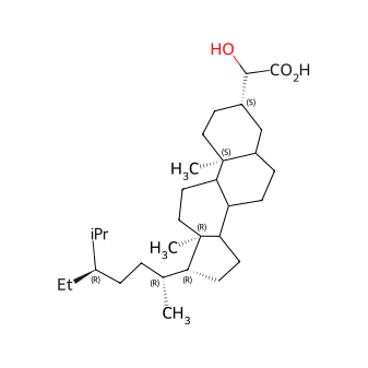 CC[C@H](CC[C@@H](C)[C@H]1CCC2C3CCC4C[C@@H](C(O)C(=O)O)CC[C@]4(C)C3CC[C@@]21C)C(C)C